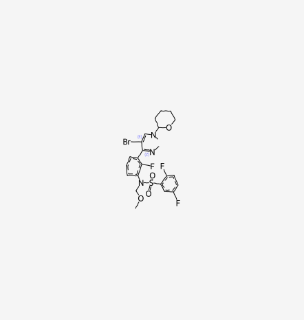 C/N=C(\C(Br)=C/N(C)C1CCCCO1)c1cccc(N(COC)S(=O)(=O)c2cc(F)ccc2F)c1F